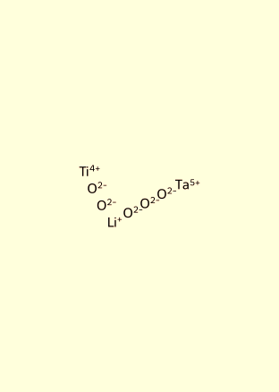 [Li+].[O-2].[O-2].[O-2].[O-2].[O-2].[Ta+5].[Ti+4]